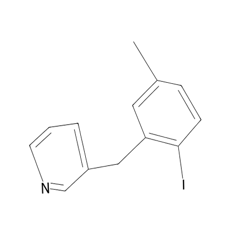 Cc1ccc(I)c(Cc2cccnc2)c1